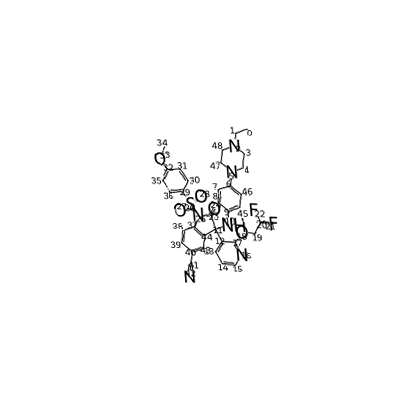 CCN1CCN(c2ccc(NC3(c4cccnc4OCC(F)F)C(=O)N(S(=O)(=O)c4ccc(OC)cc4)c4ccc(C#N)cc43)cc2)CC1